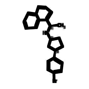 C[C@@H](N[C@H]1CC[C@@H](c2ccc(Br)cc2)C1)c1cccc2ccccc12